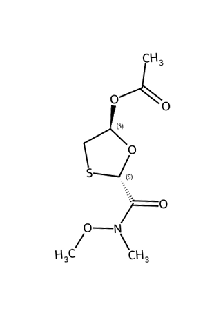 CON(C)C(=O)[C@H]1O[C@H](OC(C)=O)CS1